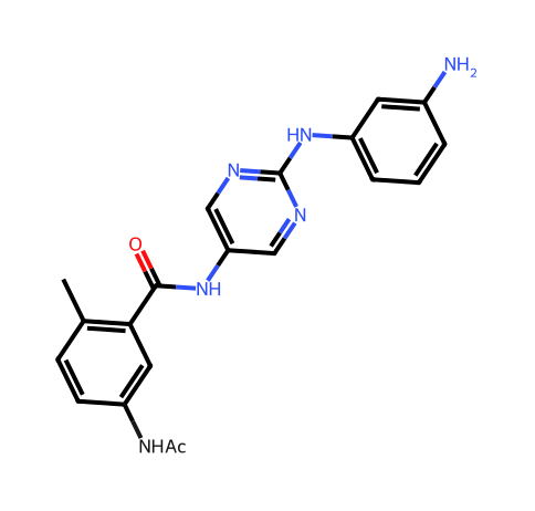 CC(=O)Nc1ccc(C)c(C(=O)Nc2cnc(Nc3cccc(N)c3)nc2)c1